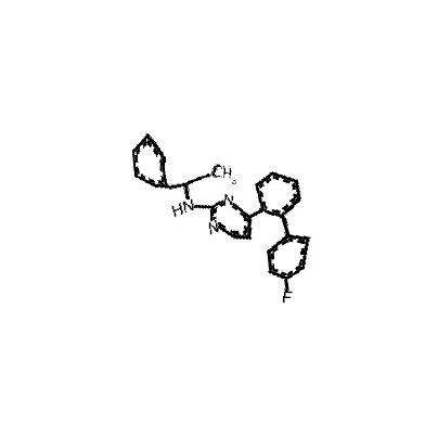 CC(Nc1nccc(-c2ccccc2-c2ccc(F)cc2)n1)c1ccccc1